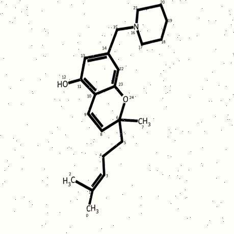 CC(C)=CCCC1(C)C=Cc2c(O)cc(CN3CCCCC3)cc2O1